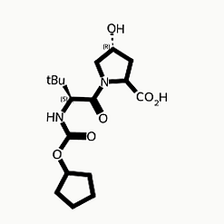 CC(C)(C)[C@H](NC(=O)OC1CCCC1)C(=O)N1C[C@H](O)CC1C(=O)O